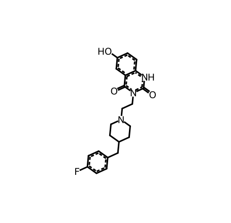 O=c1[nH]c2ccc(O)cc2c(=O)n1CCN1CCC(Cc2ccc(F)cc2)CC1